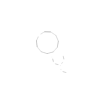 C1CCCCCOCCCC1.CCO[SiH](OCC)OCC